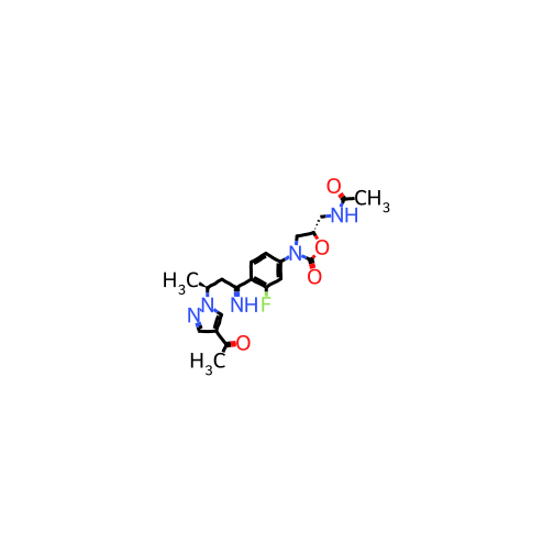 CC(=O)NC[C@H]1CN(c2ccc(C(=N)C[C@H](C)n3cc(C(C)=O)cn3)c(F)c2)C(=O)O1